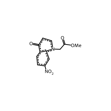 COC(=O)Cn1ccc(=O)c2ccc([N+](=O)[O-])cc21